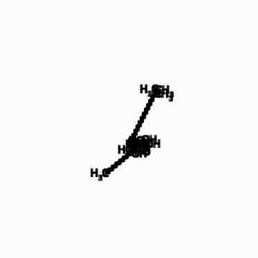 CCCCCCCCCCCCCC[C@@H](O)[C@@H](O)[C@H](COC1OC(CO)C(O)C(O)C1O)n1nnn(CCCCCCCCCCCCCCCCCCCCCCC[Si](C)(C)C)c1=O